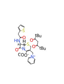 CC(C)(C)C(=O)CC(=O)C(C)(C)C.O=C(Cc1cccs1)N[C@@H]1C(=O)N2C(C(=O)[O-])=C(C[n+]3ccccc3)CS[C@H]12